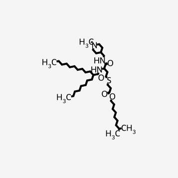 CCCCCCCCCCC(CCCCCCCC)C(=O)NC(CCSCCC(=O)OCCCCCCCC(C)C)C(=O)NCC1CCN(C)CC1